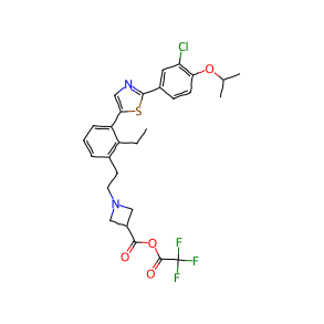 CCc1c(CCN2CC(C(=O)OC(=O)C(F)(F)F)C2)cccc1-c1cnc(-c2ccc(OC(C)C)c(Cl)c2)s1